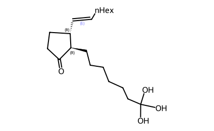 CCCCCC/C=C/[C@H]1CCC(=O)[C@@H]1CCCCCCC(O)(O)O